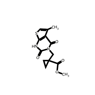 COC(=O)C1(Cn2c(=O)[nH]c3scc(C)c3c2=O)CC1